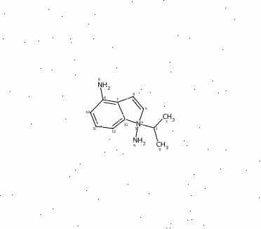 CC(C)[N+]1(N)C=Cc2c(N)cccc21